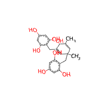 CC1=CC(C)(Cc2c(O)cc(O)cc2O)C=C(Cc2c(O)cc(O)cc2O)C1O